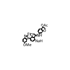 CCc1nc2ccc(OC)cc2n1-c1cccc2c1OC[C@H]2Nc1ccc2c(c1)OC[C@H]2OC(C)=O.[NaH]